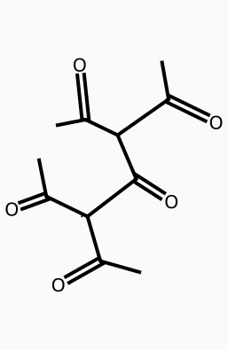 CC(=O)[C](C(C)=O)C(=O)C(C(C)=O)C(C)=O